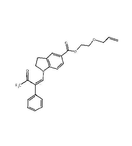 C=CCOCCOC(=O)c1ccc2c(c1)CCN2/C=C(\C(=O)C(F)(F)F)c1ccccc1